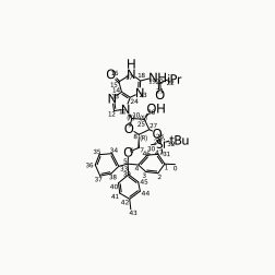 Cc1ccc(C(OC[C@H]2O[C@@H](n3cnc4c(=O)[nH]c(NC(=O)C(C)C)nc43)[C@@H](O)C2O[Si](C)(C)C(C)(C)C)(c2ccccc2)c2ccc(C)cc2)cc1